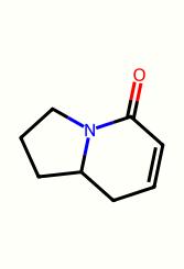 O=C1C=CCC2CCCN12